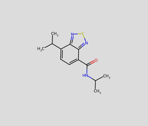 CC(C)NC(=O)c1ccc(C(C)C)c2nsnc12